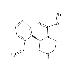 C=Cc1ccccc1[C@@H]1CNCCN1C(=O)OC(C)(C)C